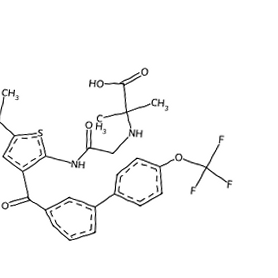 CCc1cc(C(=O)c2cccc(-c3ccc(OC(F)(F)F)cc3)c2)c(NC(=O)CNC(C)(C)C(=O)O)s1